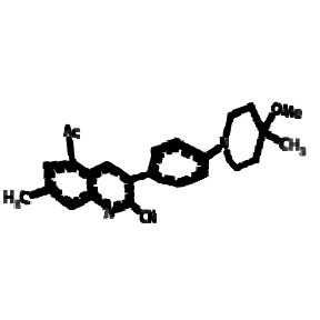 COC1(C)CCN(c2ccc(-c3cc4c(C(C)=O)cc(C)cc4nc3C#N)cc2)CC1